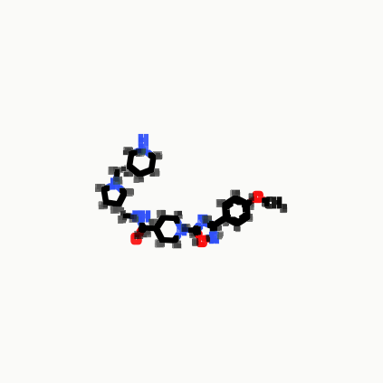 COc1ccc(-c2noc(N3CCC(C(=O)NC[C@@H]4CCN(C[C@H]5CCCNC5)C4)CC3)n2)cc1